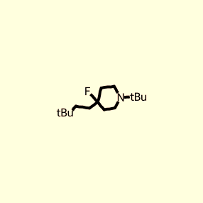 CC(C)(C)CCC1(F)CCN(C(C)(C)C)CC1